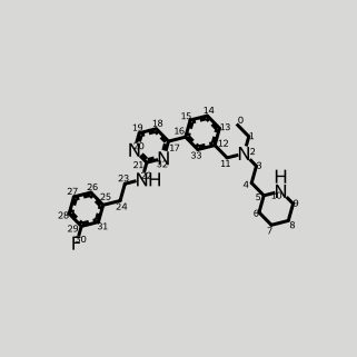 CCN(CCC1CCCCN1)Cc1cccc(-c2ccnc(NCCc3cccc(F)c3)n2)c1